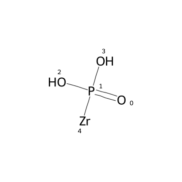 O=[P](O)(O)[Zr]